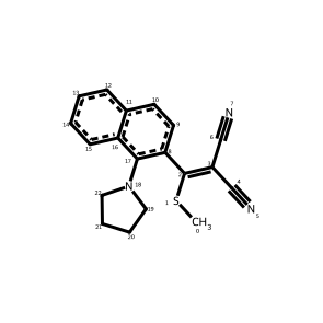 CSC(=C(C#N)C#N)c1ccc2ccccc2c1N1CCCC1